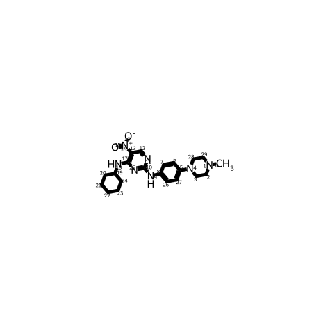 CN1CCN(c2ccc(Nc3ncc([N+](=O)[O-])c(NC4CCCCC4)n3)cc2)CC1